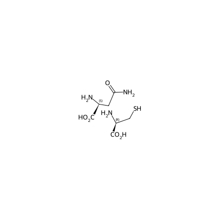 NC(=O)C[C@H](N)C(=O)O.N[C@@H](CS)C(=O)O